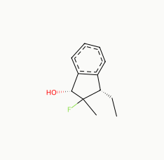 CC[C@H]1c2ccccc2[C@@H](O)C1(C)F